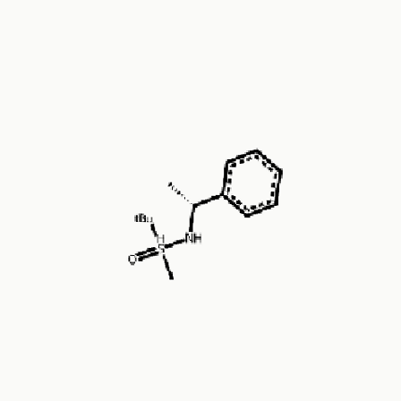 C[C@@H](N[SH](C)(=O)C(C)(C)C)c1ccccc1